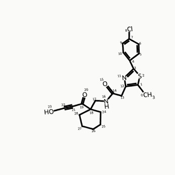 Cc1sc(-c2ccc(Cl)cc2)nc1CC(=O)NCC1(C(=O)C#CO)CCCCC1